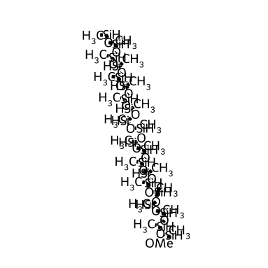 CO[SiH](C)O[SiH](C)O[SiH](C)O[SiH](C)O[SiH](C)O[SiH](C)O[SiH](C)O[SiH](C)O[SiH](C)O[SiH](C)O[SiH](C)O[SiH](C)O[SiH](C)O[SiH](C)O[SiH](C)O[SiH](C)O[SiH](C)O[SiH](C)O[SiH](C)O[SiH2]C